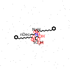 CCCCCCCCCCCCCC(=O)N(OC(=O)CCCCCCCCc1ccccc1)[C@H]1[C@@H](OC(=O)CCCCCCCCc2ccccc2)[C@H](OS(=O)(=O)O)[C@@H](CO)O[C@@H]1O.[NaH]